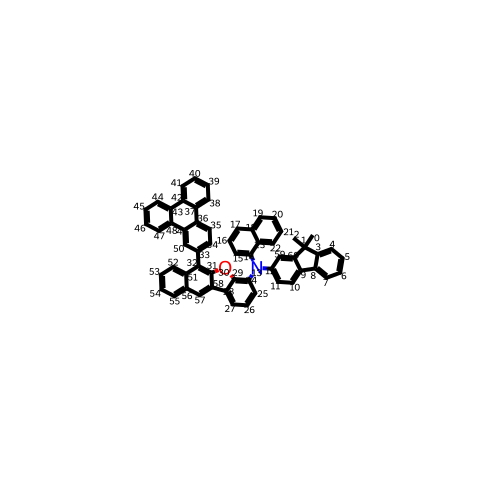 CC1(C)c2ccccc2-c2ccc(N(c3cccc4ccccc34)c3cccc4c3oc3c(-c5ccc6c7ccccc7c7ccccc7c6c5)c5ccccc5cc34)cc21